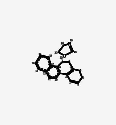 C1=CC2=C(CC1)CCc1c2ccc2ccccc12.C1=NCCO1